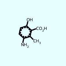 Cc1c(N)ccc(O)c1C(=O)O